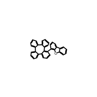 c1ccc2c(c1)-c1ccccc1-c1cccc(-c3cccc4c3oc3ccccc34)c1-c1ccccc1-2